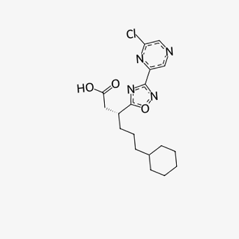 O=C(O)C[C@@H](CCCC1CCCCC1)c1nc(-c2cncc(Cl)n2)no1